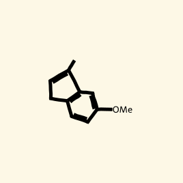 COc1ccc2c(c1)C(C)=CC2